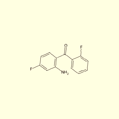 Nc1cc(F)ccc1C(=O)c1ccccc1F